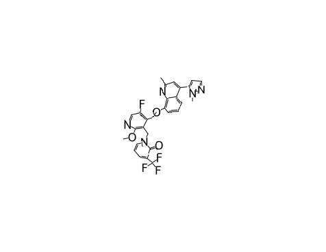 COc1ncc(F)c(COc2cccc3c(-c4ccnn4C)cc(C)nc23)c1Cn1cccc(C(F)(F)F)c1=O